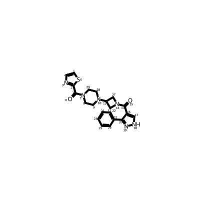 O=C(c1nccs1)N1CCN(C2CN(C(=O)c3c[nH]nc3-c3ccccc3)C2)CC1